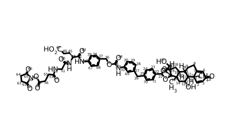 C[C@]12C=CC(=O)C=C1CC[C@@H]1[C@@H]2[C@@H](O)C[C@@]2(C)[C@H]1C[C@H]1OC(c3ccc(Cc4cccc(NC(=O)OCc5ccc(NC(=O)[C@H](CCC(=O)O)NC(=O)CNC(=O)CCC(=O)ON6C(=O)CCC6=O)cc5)c4)cc3)O[C@]12C(=O)CO